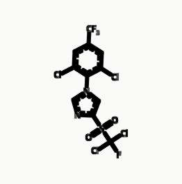 O=S(=O)(c1cn(-c2c(Cl)cc(C(F)(F)F)cc2Cl)cn1)C(F)(Cl)Cl